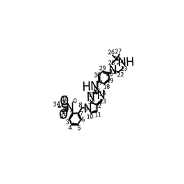 CN(c1ccccc1Cn1ccc2cnc(Nc3ccc(N4CCNC(C)(C)C4)cc3)nc21)S(C)(=O)=O